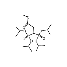 COC(=O)CC(P(=O)(OC(C)C)OC(C)C)P(=O)(OC(C)C)OC(C)C